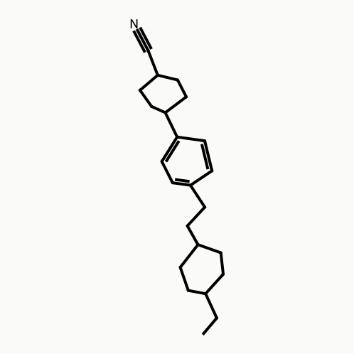 CCC1CCC(CCc2ccc(C3CCC(C#N)CC3)cc2)CC1